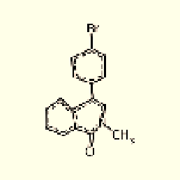 Cn1cc(-c2ccc(Br)cc2)c2ccccc2c1=O